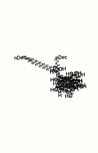 CCCCCCCCCCCCC/C=C/[C@@H](O)[C@H](CO[C@@H]1OC(CO)[C@@H](O[C@@H]2OC(CO)[C@H](O)[C@H](O[C@@H]3OC(CO)[C@@H](O[C@@H]4OC(CO)[C@H](O)[C@H](O[C@H]5OC(CO)[C@H](O)[C@H](O)C5NC(C)=O)C4O[C@H]4OC(C)[C@@H](O)C(O)[C@@H]4O)[C@H](O[C@H]4OC(C)[C@@H](O)C(O)[C@@H]4O)C3NC(C)=O)C2O)[C@H](O)C1O)NC(=O)CCCCCCCCCCCCCCCCCCCCCCCCC